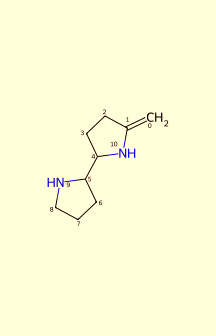 C=C1CCC(C2CCCN2)N1